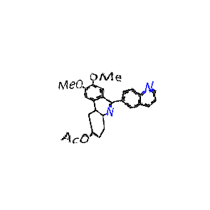 COc1cc2c(cc1OC)C1CC(OC(C)=O)CCC1N=C2c1ccc2ncccc2c1